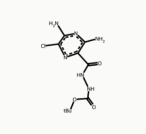 CC(C)(C)OC(=O)NNC(=O)c1nc(Cl)c(N)nc1N